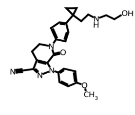 COc1ccc(-n2nc(C#N)c3c2C(=O)N(c2ccc(C4(CCNCCO)CC4)cc2)CC3)cc1